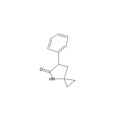 O=C1NC2(CC2)CC1c1ccccc1